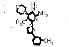 Cc1cccc(-c2ccn(-c3nc(N)c(N)c(N4CCOCC4)c3C)n2)c1